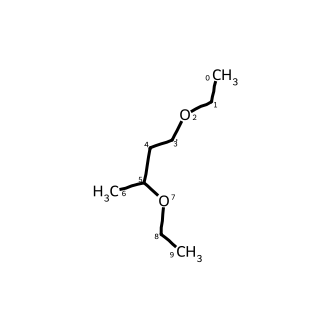 CCO[CH]CC(C)OCC